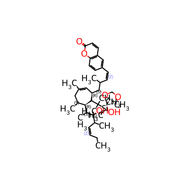 CC/C=C\C(C)[C@H](O)[C@@H](C)[C@@H]1C(C(C)(C)[Si](C)(C)O)[C@H]([C@@H](OCOC)C(C)/C=C\c2ccc3oc(=O)ccc3c2)C=C(C)C[C@@H]1C